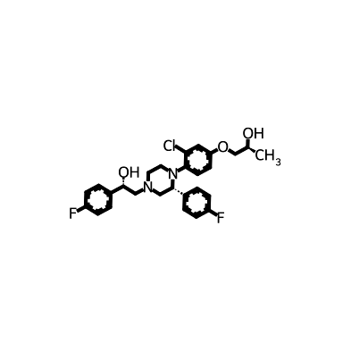 C[C@H](O)COc1ccc(N2CCN(C[C@@H](O)c3ccc(F)cc3)C[C@H]2c2ccc(F)cc2)c(Cl)c1